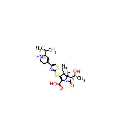 CC(C)[C@H]1C=C(c2csc(SC3=C(C(=O)O)N4C(=O)[C@H]([C@@H](C)O)[C@H]4[C@H]3C)n2)CCN1